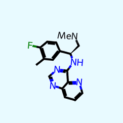 CNC[C@@H](Nc1ncnc2cccnc12)c1ccc(F)c(C)c1